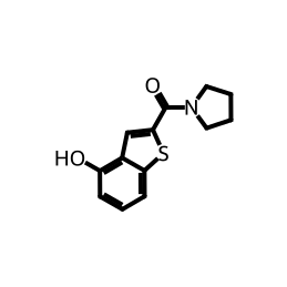 O=C(c1cc2c(O)cccc2s1)N1CCCC1